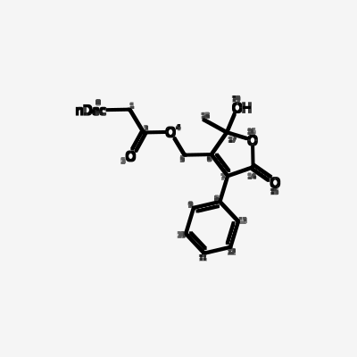 CCCCCCCCCCCC(=O)OCC1=C(c2ccccc2)C(=O)OC1(C)O